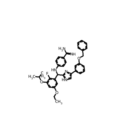 CCOc1cc(OC(C)C)c(F)c(C(Nc2ccc(C(=N)N)cc2)c2nc(-c3cccc(OCc4ccccc4)c3)c[nH]2)c1